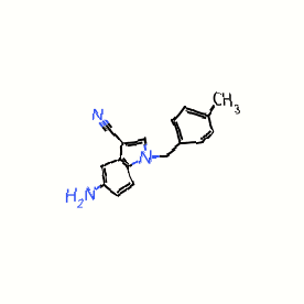 Cc1ccc(Cn2cc(C#N)c3cc(N)ccc32)cc1